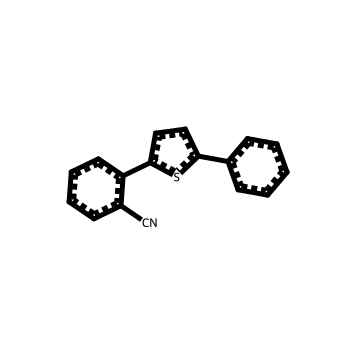 N#Cc1ccccc1-c1ccc(-c2ccccc2)s1